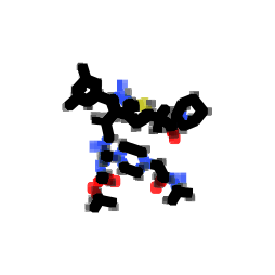 Cc1cc(C)cc(-c2[nH]c3sc(C(C)(C)C(=O)N4C5CCC4CC5)cc3c2[C@H](C)CN/C(=N/C(=O)OC(C)C)N2CCN(CC(=O)NC(C)C)CC2)c1